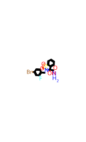 NC(=O)C1(O)c2ccccc2S(=O)(=O)N1Cc1ccc(Br)cc1F